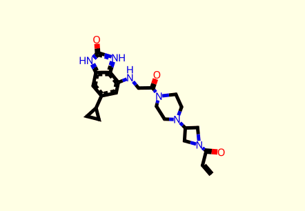 C=CC(=O)N1CC(N2CCN(C(=O)CNc3cc(C4CC4)cc4[nH]c(=O)[nH]c34)CC2)C1